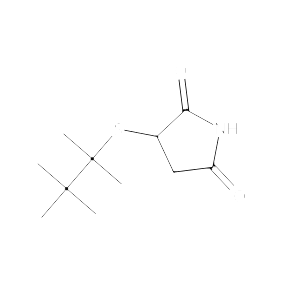 CC(C)(C)C(C)(C)SC1CC(=O)NC1=O